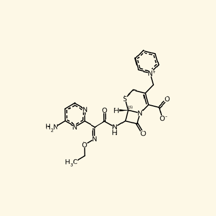 CCON=C(C(=O)NC1C(=O)N2C(C(=O)[O-])=C(C[n+]3ccccc3)CS[C@@H]12)c1nccc(N)n1